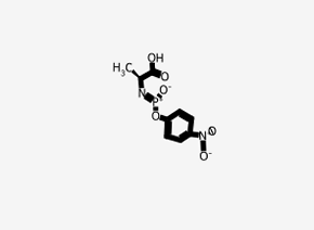 C[C@H](N=[P+]([O-])Oc1ccc([N+](=O)[O-])cc1)C(=O)O